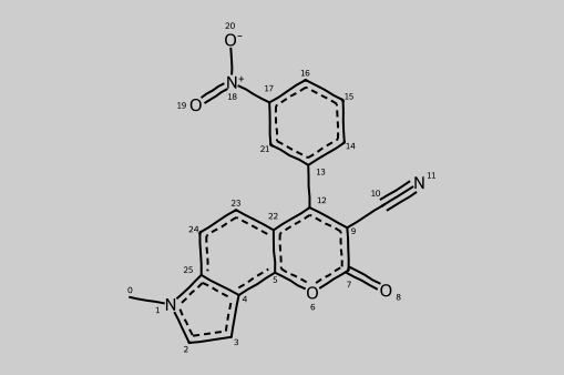 Cn1ccc2c3oc(=O)c(C#N)c(-c4cccc([N+](=O)[O-])c4)c3ccc21